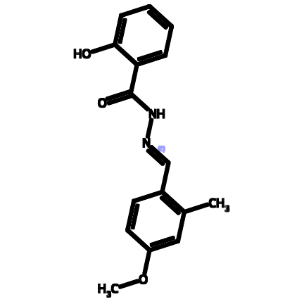 COc1ccc(/C=N/NC(=O)c2ccccc2O)c(C)c1